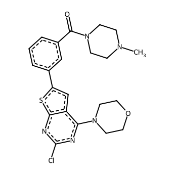 CN1CCN(C(=O)c2cccc(-c3cc4c(N5CCOCC5)nc(Cl)nc4s3)c2)CC1